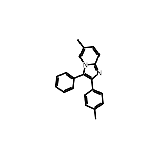 Cc1ccc(-c2nc3ccc(C)cn3c2-c2ccccc2)cc1